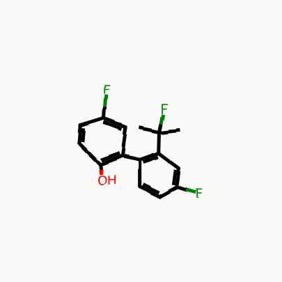 CC(C)(F)c1cc(F)ccc1-c1cc(F)ccc1O